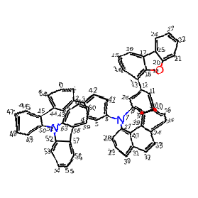 c1cc(-c2ccc(N(c3cccc(-c4cccc5c4oc4ccccc45)c3)c3cccc4ccc5ccccc5c34)cc2)cc(-c2ccccc2-n2c3ccccc3c3ccccc32)c1